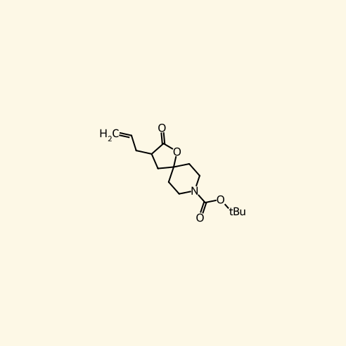 C=CCC1CC2(CCN(C(=O)OC(C)(C)C)CC2)OC1=O